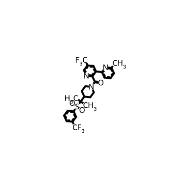 Cc1cccc(-c2cc(C(F)(F)F)cnc2C(=O)N2CCC(C(C)(C)S(=O)(=O)c3cccc(C(F)(F)F)c3)CC2)n1